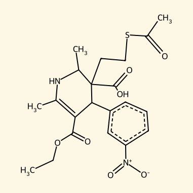 CCOC(=O)C1=C(C)NC(C)C(CCSC(C)=O)(C(=O)O)C1c1cccc([N+](=O)[O-])c1